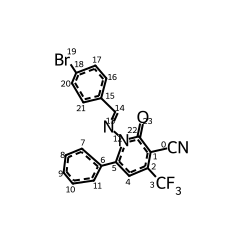 N#Cc1c(C(F)(F)F)cc(-c2ccccc2)n(N=Cc2ccc(Br)cc2)c1=O